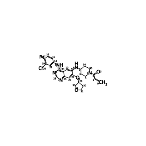 C=CC(=O)N1CCC(Nc2cc3c(Nc4ccc(F)c(Cl)c4)ncnc3cc2OC2CCOC2)CC1